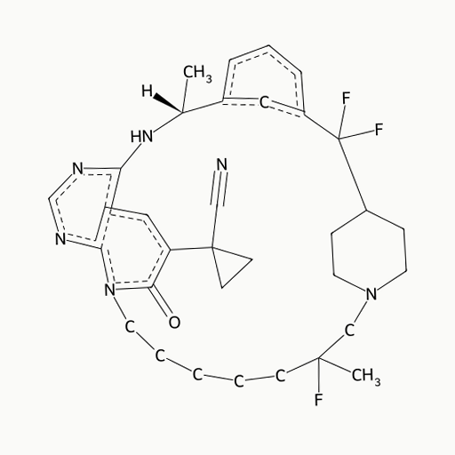 C[C@H]1Nc2ncnc3c2cc(C2(C#N)CC2)c(=O)n3CCCCCC(C)(F)CN2CCC(CC2)C(F)(F)c2cccc1c2